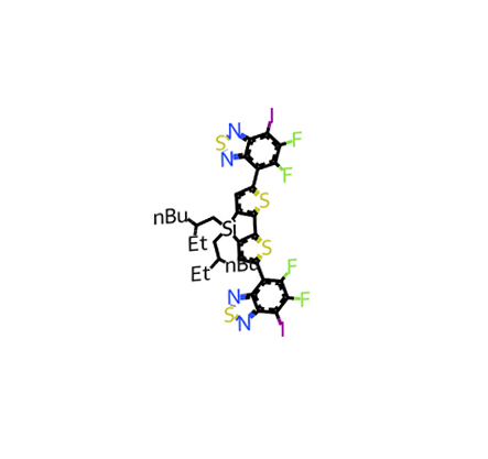 CCCCC(CC)C[Si]1(CC(CC)CCCC)c2cc(-c3c(F)c(F)c(I)c4nsnc34)sc2-c2sc(-c3c(F)c(F)c(I)c4nsnc34)cc21